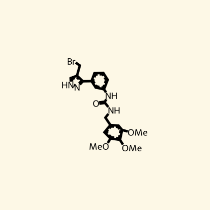 COc1cc(CNC(=O)Nc2cccc(-c3n[nH]cc3CBr)c2)cc(OC)c1OC